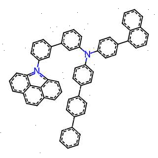 c1ccc(-c2ccc(-c3ccc(N(c4ccc(-c5cccc6ccccc56)cc4)c4cccc(-c5cccc(-n6c7cccc8ccc9cccc6c9c87)c5)c4)cc3)cc2)cc1